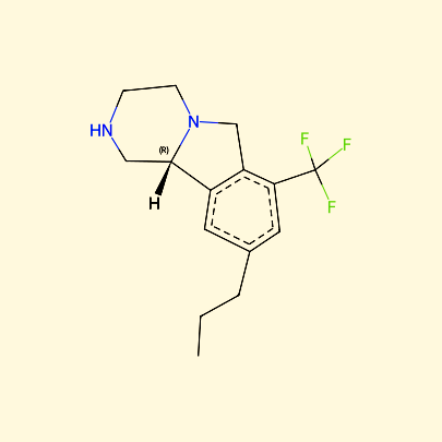 CCCc1cc2c(c(C(F)(F)F)c1)CN1CCNC[C@@H]21